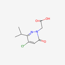 CC(C)c1nn(CC(=O)O)c(=O)cc1Cl